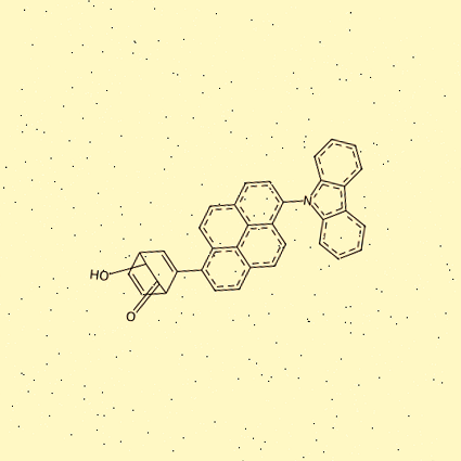 O=C1C2C=CC(C=C2c2ccc3ccc4c(-n5c6ccccc6c6ccccc65)ccc5ccc2c3c54)C1O